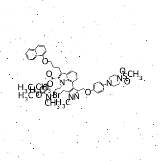 CCOC(=O)c1c(CCCOc2cccc3ccccc23)c2cccc(-c3c(COc4ccc(N5CCN(S(C)(=O)=O)CC5)cc4)nn(C)c3CBr)c2n1CCCN(C)C(=O)OC(C)(C)C